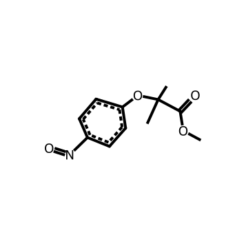 COC(=O)C(C)(C)Oc1ccc(N=O)cc1